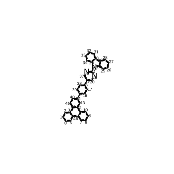 c1ccc2c(c1)c1ccccc1c1cc(-c3ccc(-c4cnc(-n5c6ccccc6c6ccccc65)nc4)cc3)ccc21